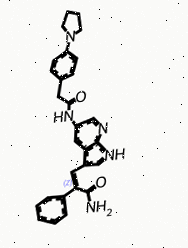 NC(=O)/C(=C\c1c[nH]c2ncc(NC(=O)Cc3ccc(N4CCCC4)cc3)cc12)c1ccccc1